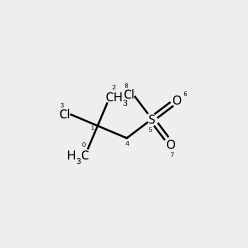 CC(C)(Cl)CS(=O)(=O)Cl